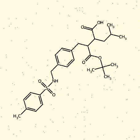 Cc1ccc(S(=O)(=O)NCc2ccc(CC(C(=O)OC(C)(C)C)C(CC(C)C)C(=O)O)cc2)cc1